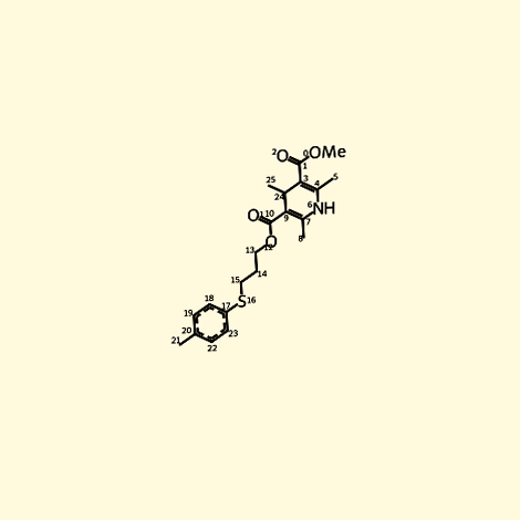 COC(=O)C1=C(C)NC(C)=C(C(=O)OCCCSc2ccc(C)cc2)C1C